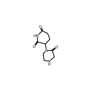 O=C1CCC(N2CCNCC2=O)C(=O)N1